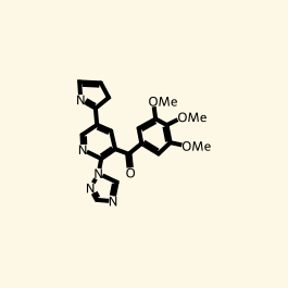 COc1cc(C(=O)c2cc(C3=NC=CC3)cnc2-n2cncn2)cc(OC)c1OC